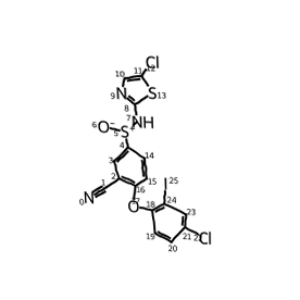 N#Cc1cc([S+]([O-])Nc2ncc(Cl)s2)ccc1Oc1ccc(Cl)cc1I